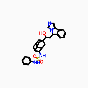 O=S(=O)(Nc1ccccc1)NC1C2CC3CC1CC(C(O)CC1c4ccccc4-c4cncn41)(C3)C2